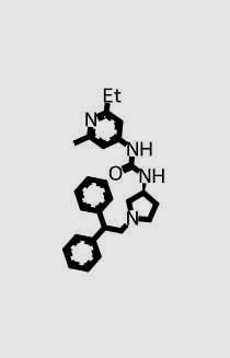 CCc1cc(NC(=O)N[C@H]2CCN(CC(c3ccccc3)c3ccccc3)C2)cc(C)n1